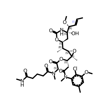 C/C=C/[C@@H](OC)[C@@]1(O)C[C@@H]([C@@H](C)[C@@H]2O[C@@]2(C)[C@H](CC(=O)N(C)c2cc(C)cc(OC)c2Cl)OC(=O)[C@H](C)N(C)C(=O)CCCC(=O)NC)OC(=O)N1